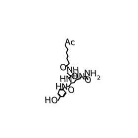 CC(=O)CCCCCCC(=O)NCC(=O)NC(CCCNC(N)=O)C(=O)Nc1ccc(CO)cc1